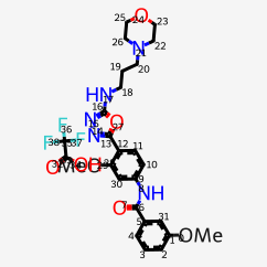 COc1cccc(C(=O)Nc2ccc(-c3nnc(NCCCN4CCOCC4)o3)c(OC)c2)c1.O=C(O)C(F)(F)F